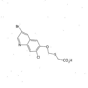 O=C(O)CSCOc1cc2cc(Br)cnc2cc1Cl